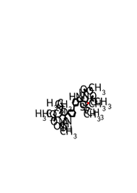 CC[Si](CC)(CC)O[C@@]12C[C@@H](C(=O)OC)N(C(=O)OC)[C@@H]1Nc1ccc(-c3ccc4c(c3)[C@]3(O[Si](CC)(CC)CC)C[C@@H](C(=O)OC)N(C(=O)OC)[C@@H]3N4)cc12